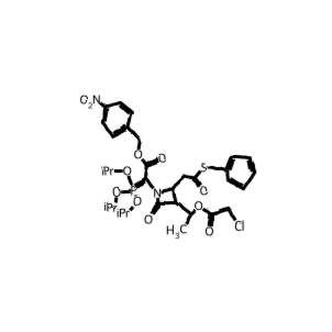 CC(C)OP(OC(C)C)(OC(C)C)=C(C(=O)OCc1ccc([N+](=O)[O-])cc1)N1C(=O)C(C(C)OC(=O)CCl)C1CC(=O)Sc1ccccc1